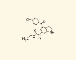 [CH2]COC(=O)Nc1cc2c(c(C(=O)c3ccc(Cl)cc3)c1)CCN2